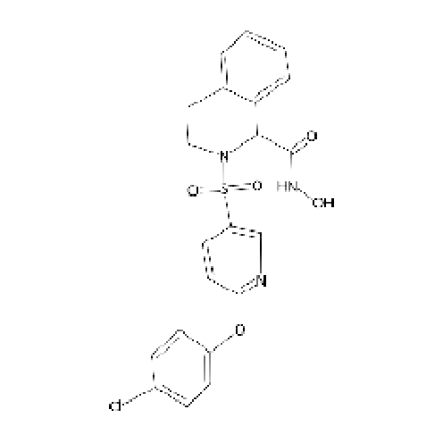 O=C(NO)C1c2ccccc2CCN1S(=O)(=O)c1ccc(Oc2ccc(Cl)cc2)nc1